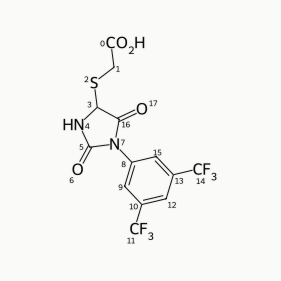 O=C(O)CSC1NC(=O)N(c2cc(C(F)(F)F)cc(C(F)(F)F)c2)C1=O